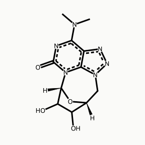 CN(C)c1nc(=O)n2c3c1nnn3C[C@H]1O[C@@H]2C(O)C1O